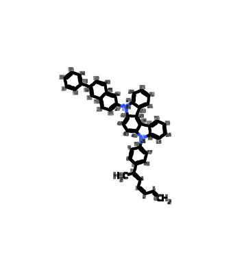 C=C/C=C\C=C(/C)c1ccc(-n2c3ccccc3c3c4c5ccccc5n(-c5ccc6cc(-c7ccccc7)ccc6c5)c4ccc32)cc1